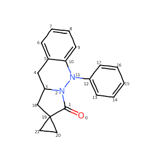 O=C1N2C(Cc3ccccc3N2c2ccccc2)CC12CC2